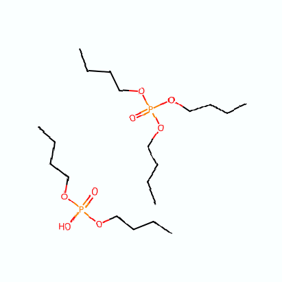 CCCCOP(=O)(O)OCCCC.CCCCOP(=O)(OCCCC)OCCCC